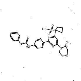 C[C@H]1COCCN1c1cc(C2(S(C)(=O)=O)CCC2)nc(-c2ccc(NC(=O)Oc3ccccc3)cc2)n1